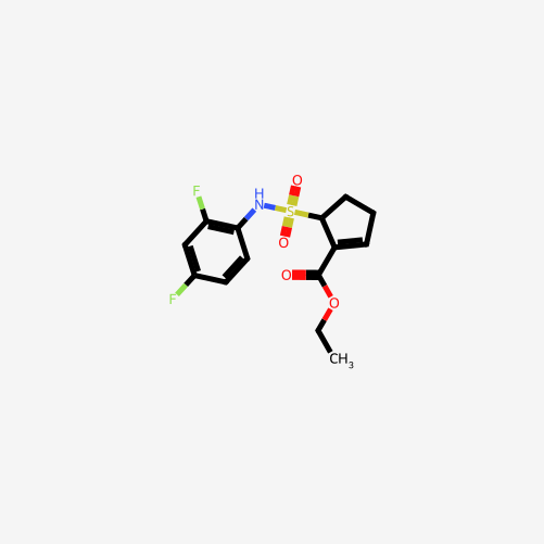 CCOC(=O)C1=CCCC1S(=O)(=O)Nc1ccc(F)cc1F